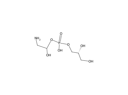 NCC(O)OP(=O)(O)OC[C@H](O)CO